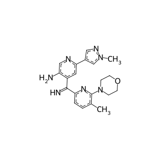 Cc1ccc(C(=N)c2cc(-c3cnn(C)c3)ncc2N)nc1N1CCOCC1